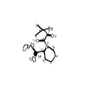 CCC(C)(C)C(=O)C(=O)N1CCCCC1C(=O)N=O